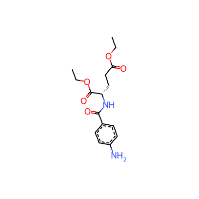 CCOC(=O)CC[C@H](NC(=O)c1ccc(N)cc1)C(=O)OCC